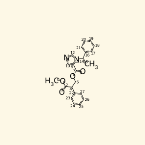 COC(=O)C(COC(=O)c1cncn1C(C)c1ccccc1)c1ccccc1